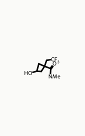 CNC(=O)C1(CC(F)(F)F)CC(O)C1